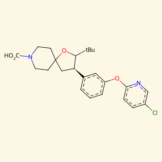 CC(C)(C)C1OC2(CCN(C(=O)O)CC2)C[C@@H]1c1cccc(Oc2ccc(Cl)cn2)c1